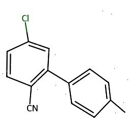 Cc1ccc(-c2cc(Cl)ccc2C#N)cc1